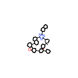 CC1(c2ccccc2)C=CC=C(c2nc(-c3ccc4ccccc4c3)nc(-c3cccc4c(-c5cccc6oc7ccc(-c8ccc(-c9ccccc9)cc8)cc7c56)cccc34)n2)C1